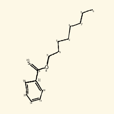 CCCCCCCCOC(=S)c1ccccc1